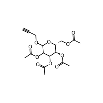 C#CCOC1O[C@H](COC(C)=O)[C@@H](OC(C)=O)C(OC(C)=O)C1OC(C)=O